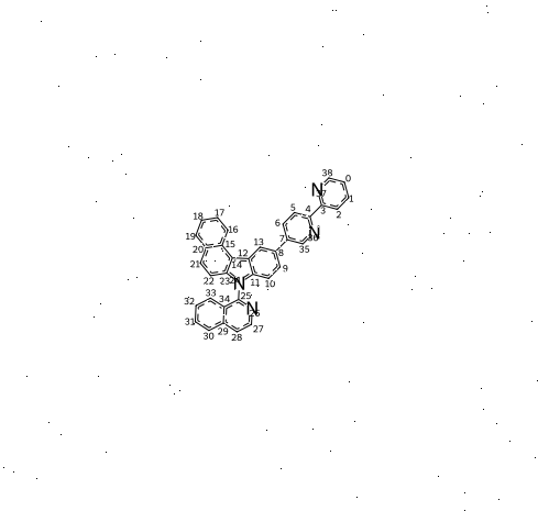 c1ccc(-c2ccc(-c3ccc4c(c3)c3c5ccccc5ccc3n4-c3nccc4ccccc34)cn2)nc1